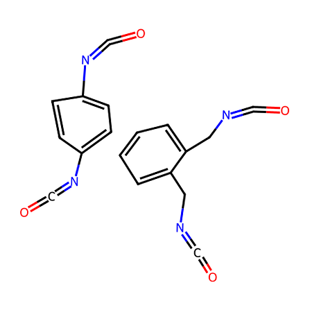 O=C=NCc1ccccc1CN=C=O.O=C=Nc1ccc(N=C=O)cc1